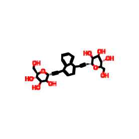 OC[C@H]1O[C@H](C#Cc2ccc(C#C[C@H]3O[C@H](CO)[C@@H](O)[C@H](O)[C@@H]3O)c3ccccc23)[C@@H](O)[C@@H](O)[C@@H]1O